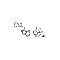 CC(C)P(C)(=O)c1ccc(-c2cnc3nnn(Cc4ccc5ncccc5c4)c3n2)cc1F